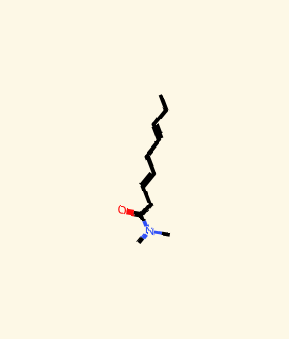 CCC=CCC=CCC(=O)N(C)C